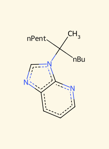 CCCCCC(C)(CCCC)n1cnc2cccnc21